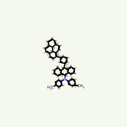 Cc1ccc(N(c2ccc(C)cc2)c2c3ccccc3c(-c3cccc(C4=C5C=CC6=CC=CC7=CC=C(C=C4)C5C67)c3)c3ccccc23)cc1